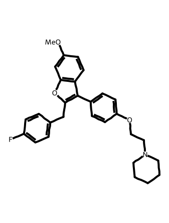 COc1ccc2c(-c3ccc(OCCN4CCCCC4)cc3)c(Cc3ccc(F)cc3)oc2c1